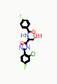 O=C(NC(CO)c1nc(-c2ccc(F)cc2Cl)no1)c1ccc(F)cc1